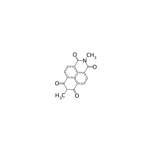 CC1C(=O)c2ccc3c4c(ccc(c24)C1=O)C(=O)N(C)C3=O